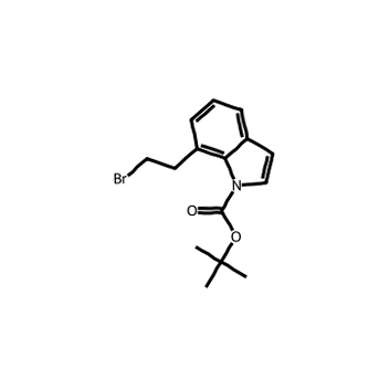 CC(C)(C)OC(=O)n1ccc2cccc(CCBr)c21